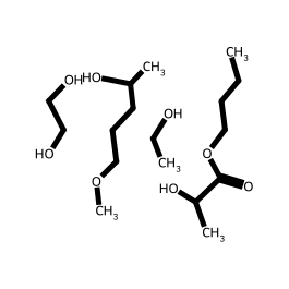 CCCCOC(=O)C(C)O.CCO.COCCCC(C)O.OCCO